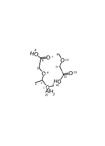 COC(C)OCC(=O)O.COCC(=O)O.[AlH3]